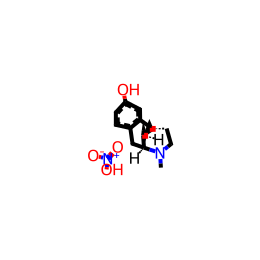 CN1CC[C@@]23CCCC[C@@H]2[C@@H]1Cc1ccc(O)cc13.O=[N+]([O-])O